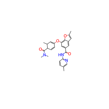 Cc1ccc(NC(=O)c2cc(OC3=CC(C)C(C(=O)N(C)C)C=C3)c3oc(C)cc3c2)nc1